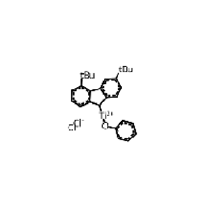 CC(C)(C)c1ccc2c(c1)-c1c(cccc1C(C)(C)C)[CH]2[Ti+2][O]c1ccccc1.[Cl-].[Cl-]